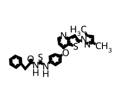 Cc1cc(C)n(-c2cc3nccc(Oc4ccc(NC(=S)NC(=O)Cc5ccccc5)cc4)c3s2)n1